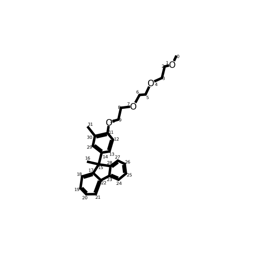 COCCOCCOCCOc1ccc(C2(C)c3ccccc3-c3ccccc32)cc1C